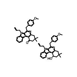 C=CCn1c2ccccc2c2c3c(nc(Cc4ccc(OC)cc4)c21)CC(C)(C)CC3=O.C=CCn1c2ccccc2c2c3c(nc(Cc4ccc(OC)cc4)c21)CC(C)(C)CC3O